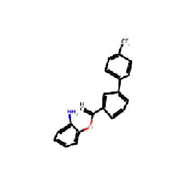 C=C(Oc1ccccc1N)c1cccc(-c2ccc(C(F)(F)F)cc2)c1